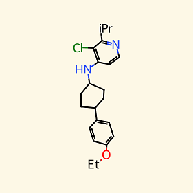 CCOc1ccc(C2CCC(Nc3ccnc(C(C)C)c3Cl)CC2)cc1